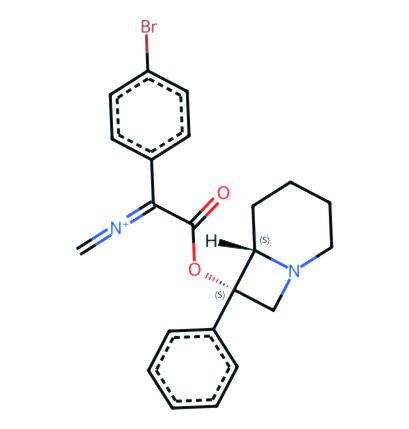 C=[N+]=C(C(=O)O[C@@]1(c2ccccc2)CN2CCCC[C@H]21)c1ccc(Br)cc1